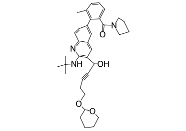 Cc1cccc(C(=O)N2CCCC2)c1-c1ccc2nc(NC(C)(C)C)c(C(O)C#CCCOC3CCCCO3)cc2c1